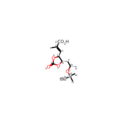 C/C(=C\[C@@H]1OC(=O)O[C@H]1C[C@H](C)O[Si](C)(C)C(C)(C)C)C(=O)O